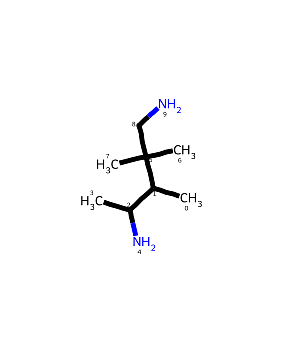 C[C](C(C)N)C(C)(C)CN